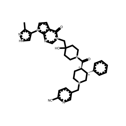 Cc1n[nH]cc1-n1ccc2c(=O)n(CC3(O)CCN(C(=O)[C@@H]4CCN(Cc5ccc(C#N)nc5)C[C@H]4c4ccccc4)CC3)cnc21